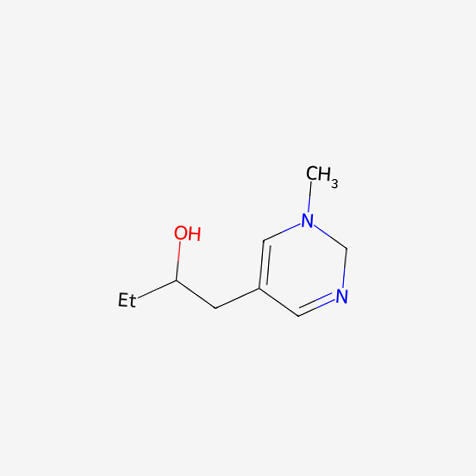 CCC(O)CC1=CN(C)CN=C1